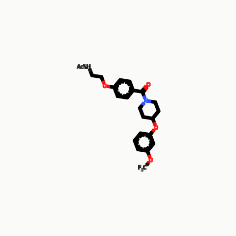 CC(=O)NCCOc1ccc(C(=O)N2CCC(Oc3cccc(OC(F)(F)F)c3)CC2)cc1